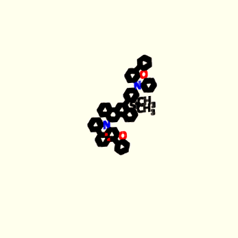 C[Si]1(C)c2cc(N(c3ccccc3)c3cccc4c3oc3ccccc34)ccc2-c2cc3c4ccccc4c(N(c4ccc5c(c4)oc4ccccc45)c4ccccc4-c4ccccc4)cc3c3cccc1c23